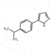 CC(C)c1ccc(-c2ccn[nH]2)cc1